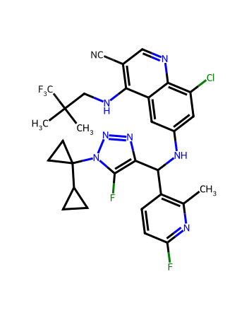 Cc1nc(F)ccc1C(Nc1cc(Cl)c2ncc(C#N)c(NCC(C)(C)C(F)(F)F)c2c1)c1nnn(C2(C3CC3)CC2)c1F